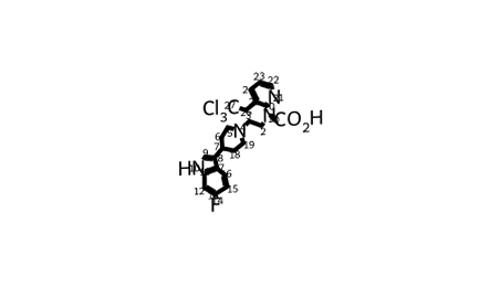 O=C(O)N(CCN1CCC(c2c[nH]c3cc(F)ccc23)CC1)c1ncccc1CC(Cl)(Cl)Cl